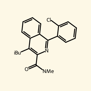 CCC(C)c1c(C(=O)NC)nc(-c2ccccc2Cl)c2ccccc12